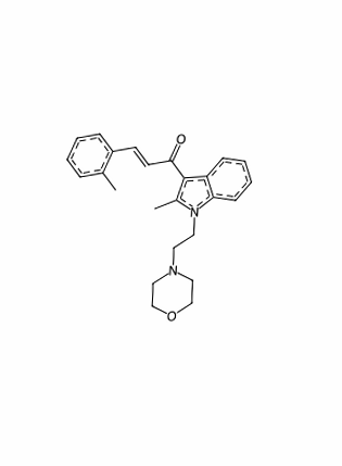 Cc1ccccc1C=CC(=O)c1c(C)n(CCN2CCOCC2)c2ccccc12